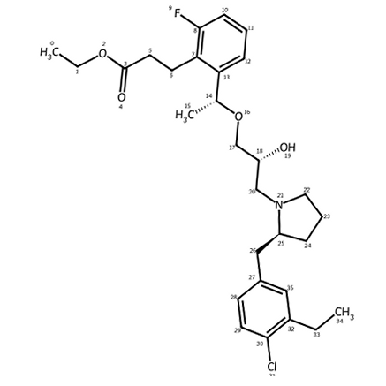 CCOC(=O)CCc1c(F)cccc1[C@@H](C)OC[C@H](O)CN1CCC[C@H]1Cc1ccc(Cl)c(CC)c1